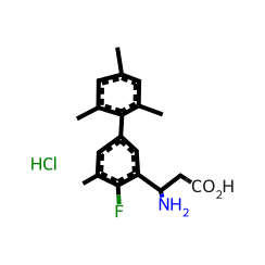 Cc1cc(C)c(-c2cc(C)c(F)c(C(N)CC(=O)O)c2)c(C)c1.Cl